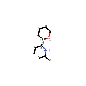 CCC(NC(C)C)[SiH]1CCCCO1